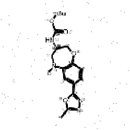 Cc1nnc(-c2ccc3c(c2)N(C)C[C@@H](NC(=O)OC(C)(C)C)CO3)o1